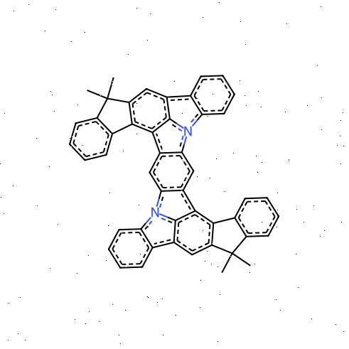 CC1(C)c2ccccc2-c2c1cc1c3ccccc3n3c4cc5c6c7c(cc8c9ccccc9n(c5cc4c2c13)c86)C(C)(C)c1ccccc1-7